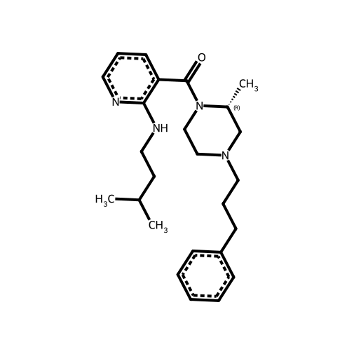 CC(C)CCNc1ncccc1C(=O)N1CCN(CCCc2ccccc2)C[C@H]1C